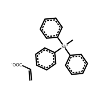 C=CC(=O)[O-].[CH3][Sb+]([c]1ccccc1)([c]1ccccc1)[c]1ccccc1